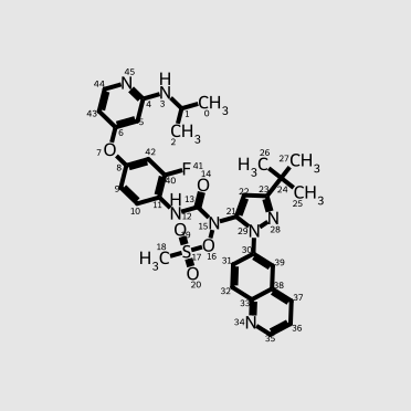 CC(C)Nc1cc(Oc2ccc(NC(=O)N(OS(C)(=O)=O)c3cc(C(C)(C)C)nn3-c3ccc4ncccc4c3)c(F)c2)ccn1